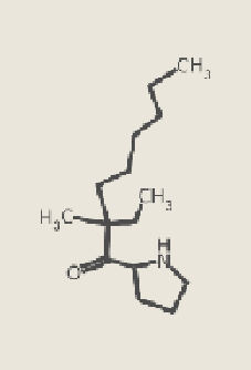 CCCCCCC(C)(CC)C(=O)C1CCCN1